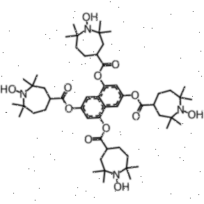 CC1(C)CCC(C(=O)Oc2cc(OC(=O)C3CCC(C)(C)N(O)C(C)(C)C3)c3cc(OC(=O)C4CCC(C)(C)N(O)C(C)(C)C4)cc(OC(=O)C4CCC(C)(C)N(O)C(C)(C)C4)c3c2)CC(C)(C)N1O